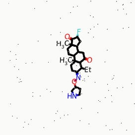 CCC1C(=NOC2CCNC2)CCC2(C)C3CCC4(C)C(=O)C(F)CC4C3CC(=O)C12